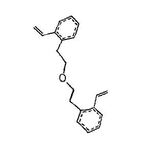 C=Cc1ccccc1CCOCCc1ccccc1C=C